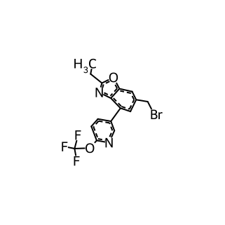 CCc1nc2c(-c3ccc(OC(F)(F)F)nc3)cc(CBr)cc2o1